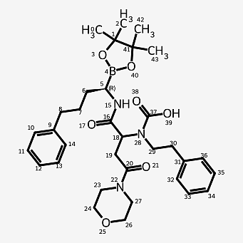 CC1(C)OB([C@H](CCCc2ccccc2)NC(=O)C(CC(=O)N2CCOCC2)N(CCc2ccccc2)C(=O)O)OC1(C)C